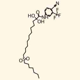 CCCCCCCS(=O)(=O)CCCCCCCCCCCC(O)(O)C(=O)Nc1ccc(C#N)c(C(F)(F)F)c1